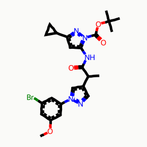 COc1cc(Br)cc(-n2cc(C(C)C(=O)Nc3cc(C4CC4)nn3C(=O)OC(C)(C)C)cn2)c1